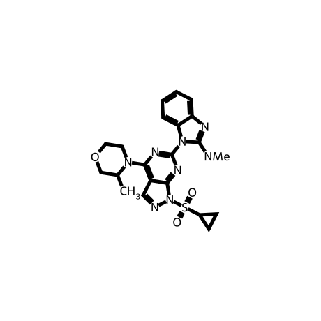 CNc1nc2ccccc2n1-c1nc(N2CCOCC2C)c2cnn(S(=O)(=O)C3CC3)c2n1